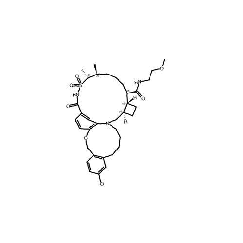 COCCNC(=O)[C@@H]1CCC[C@H](C)[C@@H](C)S(=O)(=O)NC(=O)c2ccc3c(c2)N(CCCCc2cc(Cl)ccc2CO3)C[C@@H]2CC[C@H]21